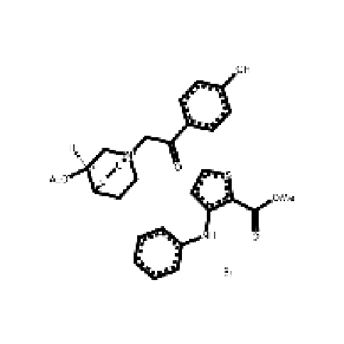 CC(=O)O[C@H]1C[N+]2(CC(=O)c3ccc(O)cc3)CCC1CC2.COC(=O)c1sccc1Nc1ccccc1.[Br-]